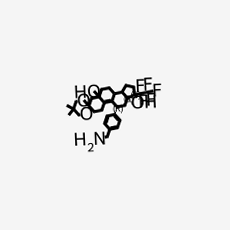 CC1(C)COC2(CCC3=C4C(CCC3(O)C2)C2CC[C@@](O)(C(F)(F)C(F)(F)F)[C@@]2(C)C[C@@H]4c2ccc(CN)cc2)OC1